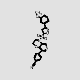 COc1cccc(C2=NOC(S(=O)(=O)N3CCOc4c(-c5ccc(C#N)cc5)cncc43)C2)c1